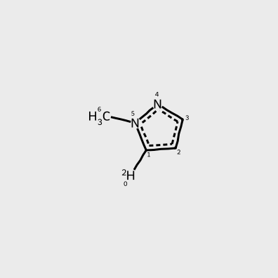 [2H]c1ccnn1C